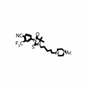 CC(=O)N1CCN(CCCCCN2C(=S)N(c3ccc(C#N)c(C(F)(F)F)c3)C(=O)C2(C)C)CC1